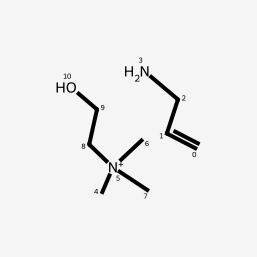 C=CCN.C[N+](C)(C)CCO